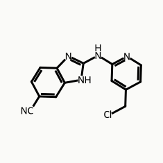 N#Cc1ccc2nc(Nc3cc(CCl)ccn3)[nH]c2c1